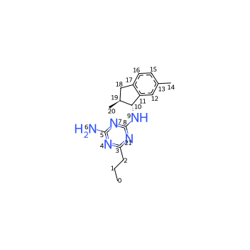 CCCc1nc(N)nc(N[C@H]2c3cc(C)ccc3C[C@@H]2C)n1